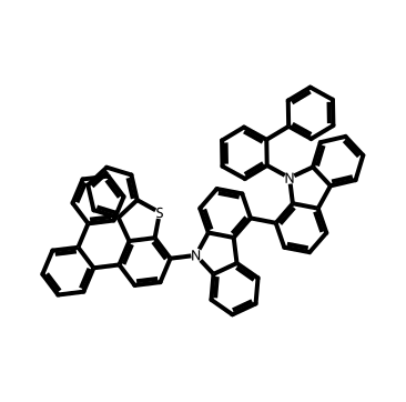 c1ccc(-c2ccccc2-c2ccc(-n3c4ccccc4c4c(-c5cccc6c7ccccc7n(-c7ccccc7-c7ccccc7)c56)cccc43)c3sc4ccccc4c23)cc1